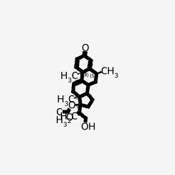 C=C(CO)[C@@]1(OC(C)=O)CCC2C3C[C@H](C)C4=CC(=O)C=C[C@]4(C)C3=CC[C@@]21C